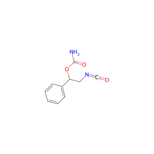 NC(=O)OC(CN=C=O)c1ccccc1